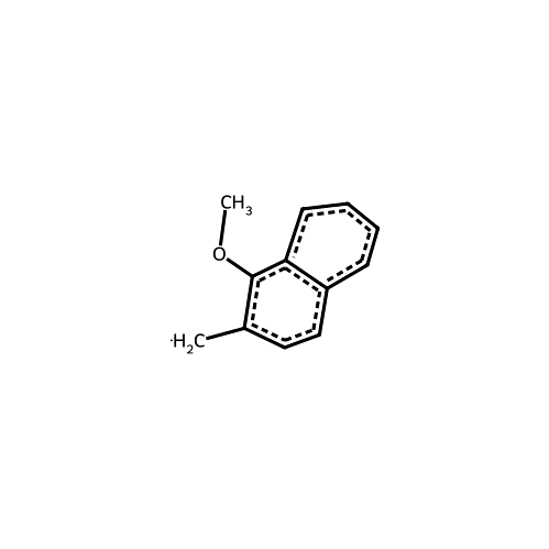 [CH2]c1ccc2ccccc2c1OC